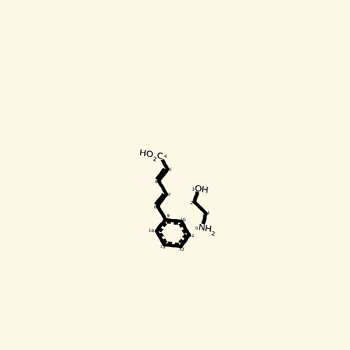 NCCO.O=C(O)C=CC=Cc1ccccc1